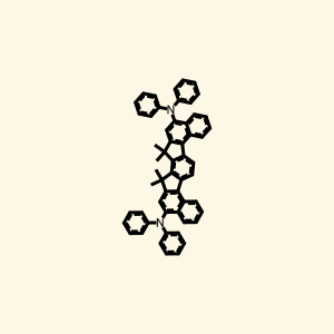 CC1(C)c2cc(N(c3ccccc3)c3ccccc3)c3ccccc3c2-c2ccc3c(c21)C(C)(C)c1cc(N(c2ccccc2)c2ccccc2)c2ccccc2c1-3